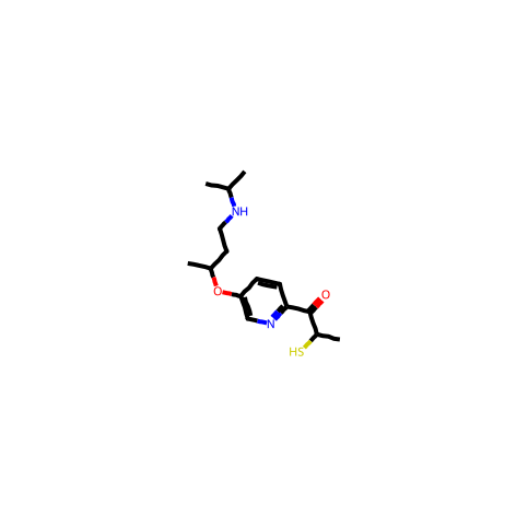 CC(C)NCCC(C)Oc1ccc(C(=O)C(C)S)nc1